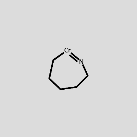 C1CC[N]=[Cr][CH2]C1